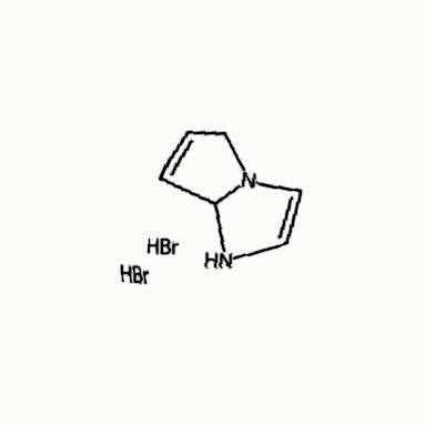 Br.Br.C1=CC2NC=CN2C1